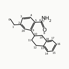 CCc1ccc(C(N)=O)c(C2CCc3ccccc3C2)c1